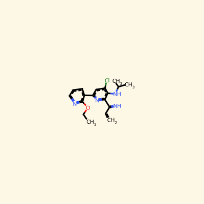 C=CC(=N)c1nc(-c2cccnc2OCC)cc(Cl)c1NC(C)C